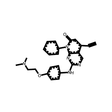 C#Cc1cc(=O)n(-c2ccccc2)c2nc(Nc3ccc(OCCN(C)C)cc3)ncc12